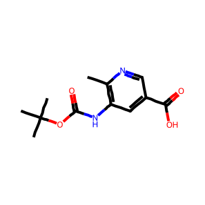 Cc1ncc(C(=O)O)cc1NC(=O)OC(C)(C)C